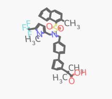 Cc1ccc2ccccc2c1S(=O)(=O)N(Cc1ccc(-c2cccc(C(C)(C)C(=O)O)c2)cc1)Cc1ccc(C(F)(F)F)n1C